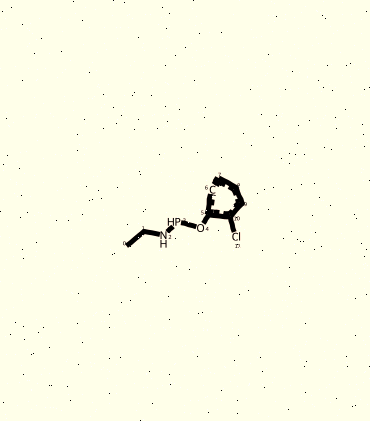 CCNPOc1ccccc1Cl